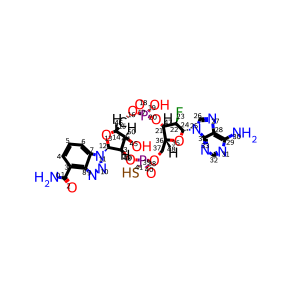 NC(=O)c1cccc2c1nnn2[C@@H]1O[C@@H]2COP(=O)(O)O[C@H]3[C@@H](F)[C@H](n4cnc5c(N)ncnc54)O[C@@H]3COP(=O)(S)O[C@@H]1[C@@H]2O